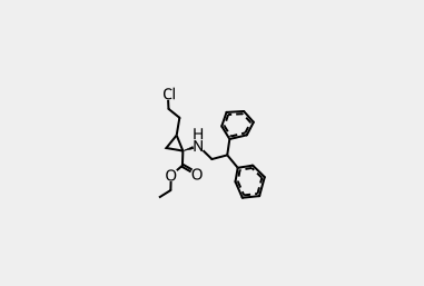 CCOC(=O)[C@]1(NCC(c2ccccc2)c2ccccc2)CC1CCCl